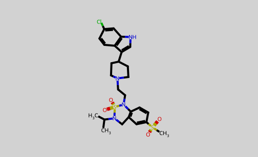 CC(C)N1Cc2cc(S(C)(=O)=O)ccc2N(CCN2CCC(c3c[nH]c4cc(Cl)ccc34)CC2)S1(=O)=O